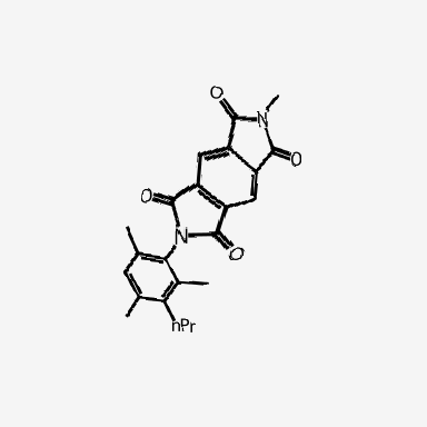 CCCc1c(C)cc(C)c(-n2c(=O)c3cc4c(=O)n(C)c(=O)c4cc3c2=O)c1C